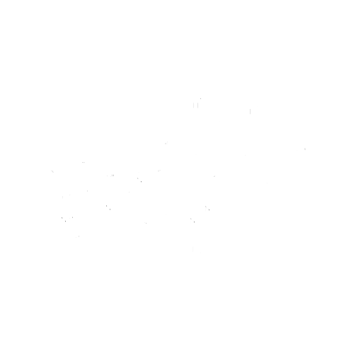 Cn1nc(-c2cc(C(F)(F)F)c(F)c(O)c2F)c2cnc(N3CCNC(=O)C34CC4)cc21